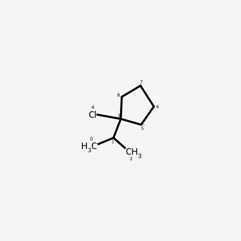 CC(C)C1(Cl)[CH]CCC1